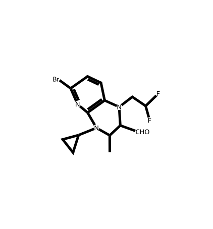 CC1C(C=O)N(CC(F)F)c2ccc(Br)nc2N1C1CC1